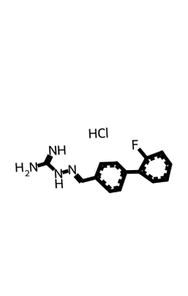 Cl.N=C(N)N/N=C/c1ccc(-c2ccccc2F)cc1